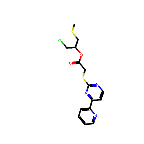 CSCC(CCl)OC(=O)CSc1nccc(-c2ccccn2)n1